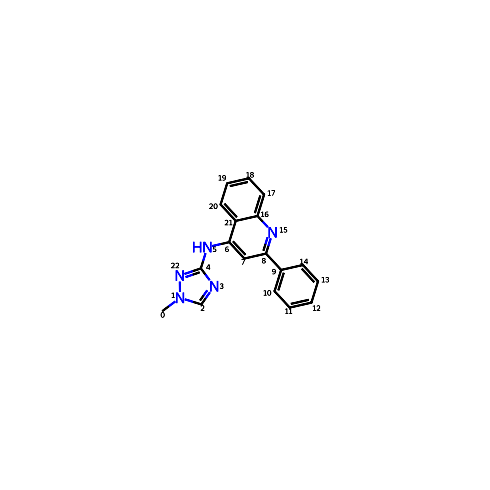 Cn1cnc(Nc2cc(-c3ccccc3)nc3ccccc23)n1